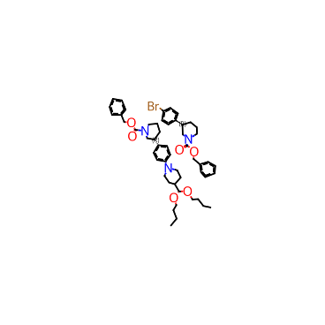 CCCCOC(OCCCC)C1CCN(c2ccc([C@H]3CCCN(C(=O)OCc4ccccc4)C3)cc2)CC1.O=C(OCc1ccccc1)N1CCC[C@H](c2ccc(Br)cc2)C1